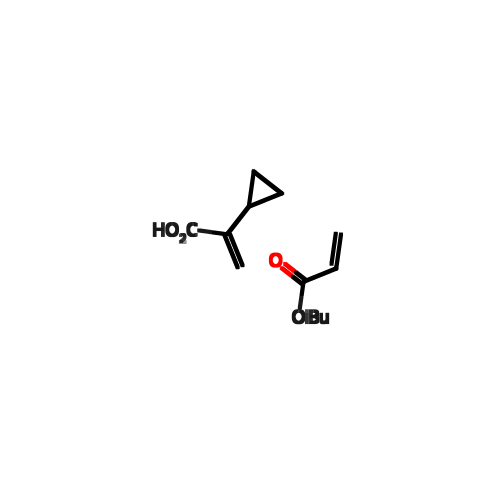 C=C(C(=O)O)C1CC1.C=CC(=O)OCC(C)C